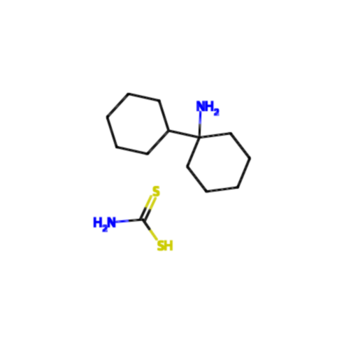 NC(=S)S.NC1(C2CCCCC2)CCCCC1